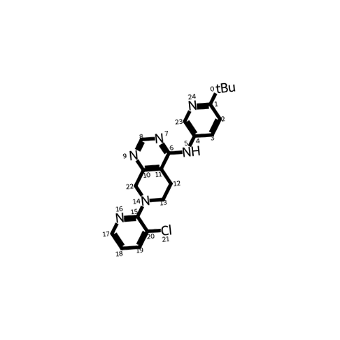 CC(C)(C)c1ccc(Nc2ncnc3c2CCN(c2ncccc2Cl)C3)cn1